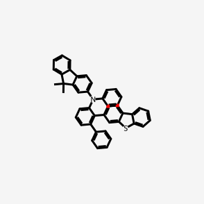 CC1(C)c2ccccc2-c2ccc(N(c3ccccc3)c3cccc(-c4ccccc4)c3-c3ccc4c(c3)sc3ccccc34)cc21